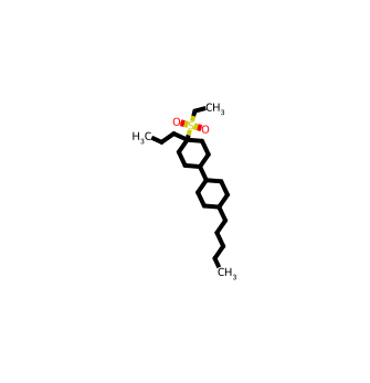 CCCCCC1CCC(C2CCC(CCC)(S(=O)(=O)CC)CC2)CC1